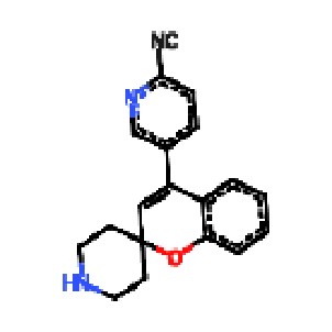 [C-]#[N+]c1ccc(C2=CC3(CCNCC3)Oc3ccccc32)cn1